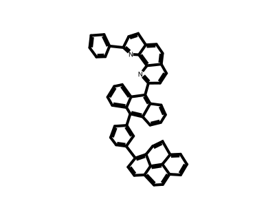 c1ccc(-c2ccc3ccc4ccc(-c5c6ccccc6c(-c6cccc(-c7ccc8ccc9cccc%10ccc7c8c9%10)c6)c6ccccc56)nc4c3n2)cc1